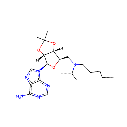 CCCCCN(C[C@H]1O[C@@H](n2cnc3c(N)ncnc32)[C@@H]2OC(C)(C)O[C@@H]21)C(C)C